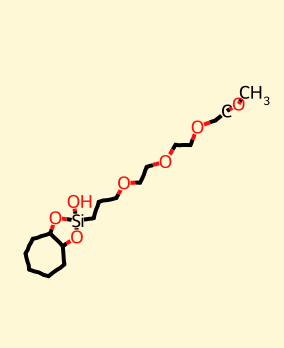 COCCOCCOCCOCCC[Si]1(O)OC2CCCCCC2O1